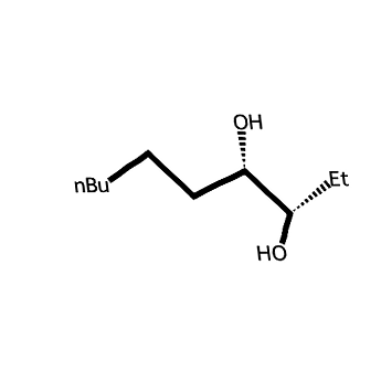 CCCCCC[C@H](O)[C@@H](O)CC